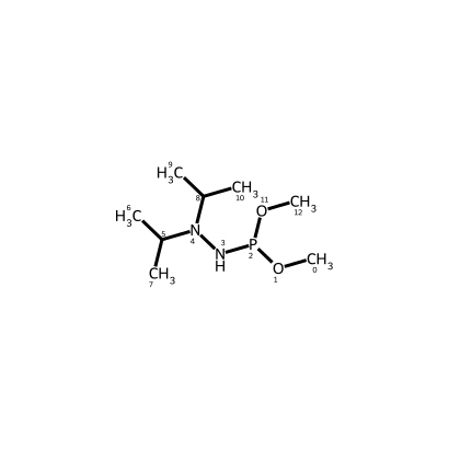 COP(NN(C(C)C)C(C)C)OC